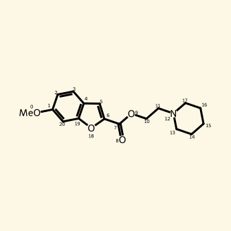 COc1ccc2cc(C(=O)OCCN3CCCCC3)oc2c1